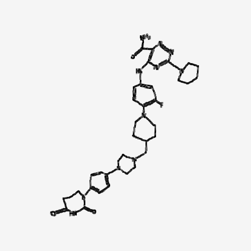 NC(=O)c1nnc(N2CCCCC2)nc1Nc1ccc(N2CCC(CN3CCN(c4ccc(N5CCC(=O)NC5=O)cc4)CC3)CC2)c(F)c1